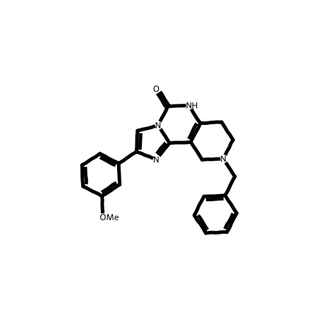 COc1cccc(-c2cn3c(=O)[nH]c4c(c3n2)CN(Cc2ccccc2)CC4)c1